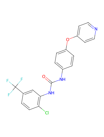 O=C(Nc1ccc(Oc2ccncc2)cc1)Nc1cc(C(F)(F)F)ccc1Cl